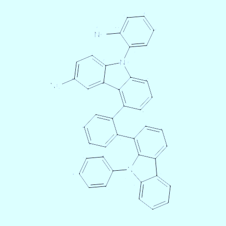 N#Cc1ccc2c(c1)c1c(-c3ccccc3-c3cccc4c5ccccc5n(-c5ccccc5)c34)cccc1n2-c1ccccc1C#N